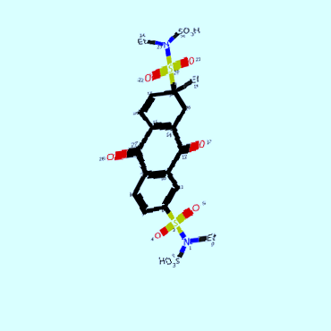 CCN(S(=O)(=O)O)S(=O)(=O)c1ccc2c(c1)C(=O)C1=C(C=CC(CC)(S(=O)(=O)N(CC)S(=O)(=O)O)C1)C2=O